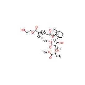 C=C(C)C(=O)OCCO.C=C(CO)C(=O)OCCC.C=C(O)C(=O)OCCCC.C=CC(=O)OC1CC2CCC1(C)C2(C)C